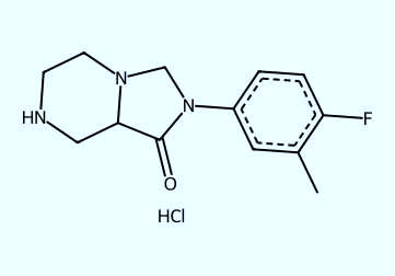 Cc1cc(N2CN3CCNCC3C2=O)ccc1F.Cl